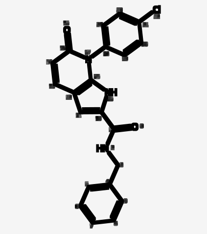 O=C(NCc1ccccc1)c1cc2ccc(=O)n(-c3ccc(Cl)cc3)c2[nH]1